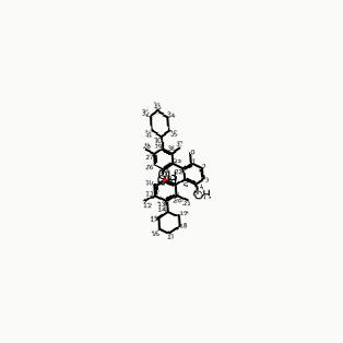 Cc1ccc(O)c(-c2c(O)cc(C)c(C3CCCCC3)c2C)c1-c1c(O)cc(C)c(C2CCCCC2)c1C